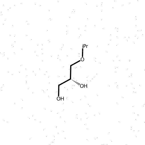 CC(C)OC[C@H](O)CO